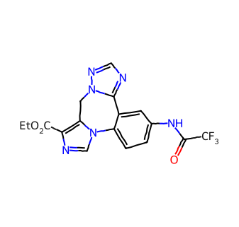 CCOC(=O)c1ncn2c1Cn1ncnc1-c1cc(NC(=O)C(F)(F)F)ccc1-2